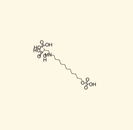 O=P(O)(O)C(CNCCCCCCCCCCCOS(=O)(=O)O)P(=O)(O)O